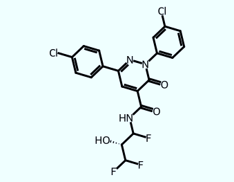 O=C(NC(F)[C@@H](O)C(F)F)c1cc(-c2ccc(Cl)cc2)nn(-c2cccc(Cl)c2)c1=O